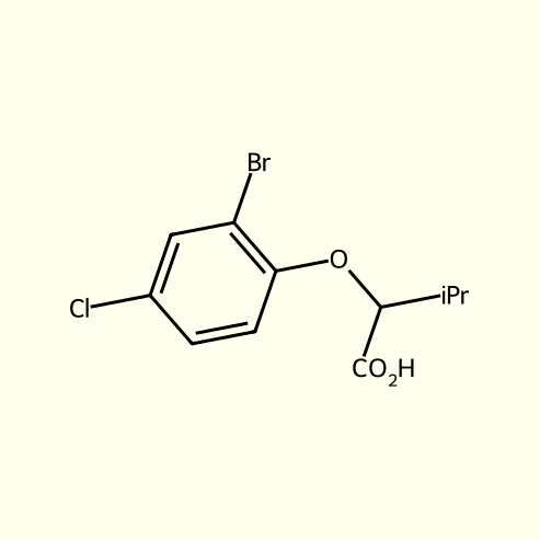 CC(C)C(Oc1ccc(Cl)cc1Br)C(=O)O